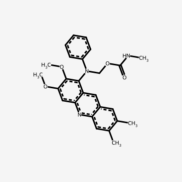 CNC(=O)OCN(c1ccccc1)c1c(OC)c(OC)cc2nc3cc(C)c(C)cc3cc12